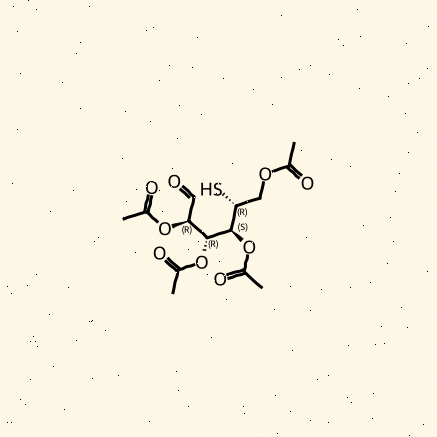 CC(=O)OC[C@@H](S)[C@@H](OC(C)=O)[C@H](OC(C)=O)[C@H](C=O)OC(C)=O